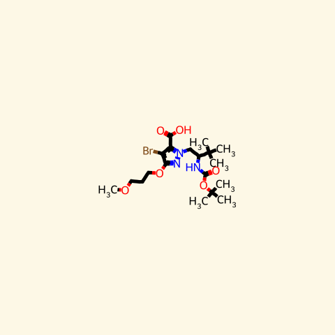 COCCCOc1nn(CC(NC(=O)OC(C)(C)C)C(C)(C)C)c(C(=O)O)c1Br